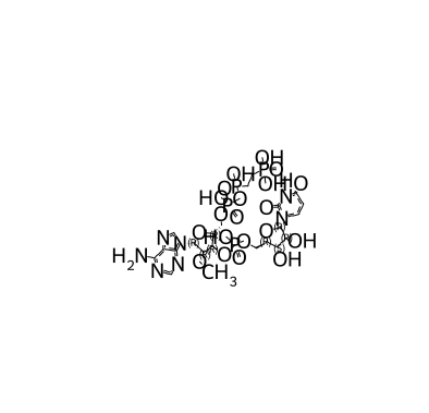 CO[C@@H]1[C@H](OP(=O)(O)OC[C@H]2O[C@@H](n3ccc(=O)[nH]c3=O)[C@H](O)[C@@H]2O)[C@@H](COP(=O)(O)OP(=O)(O)CCP(=O)(O)O)O[C@H]1n1cnc2c(N)ncnc21